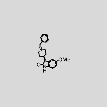 COc1ccc2c(c1)C(=C1CCN(Cc3ccccc3)CC1)C(=O)N2